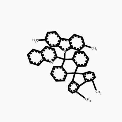 Cc1ccc2c3ccc(C)cc3n(C3(c4ccc5ccccc5n4)c4ccccc4C4(c5ccccc53)c3cccc(C)c3-c3c(C)cccc34)c2c1